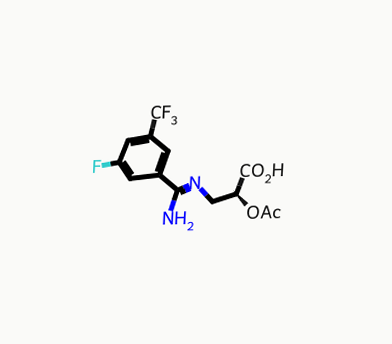 CC(=O)O[C@@H](CN=C(N)c1cc(F)cc(C(F)(F)F)c1)C(=O)O